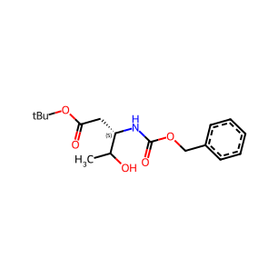 CC(O)[C@H](CC(=O)OC(C)(C)C)NC(=O)OCc1ccccc1